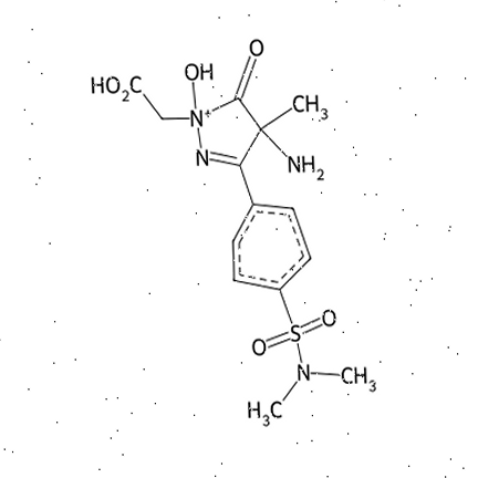 CN(C)S(=O)(=O)c1ccc(C2=N[N+](O)(CC(=O)O)C(=O)C2(C)N)cc1